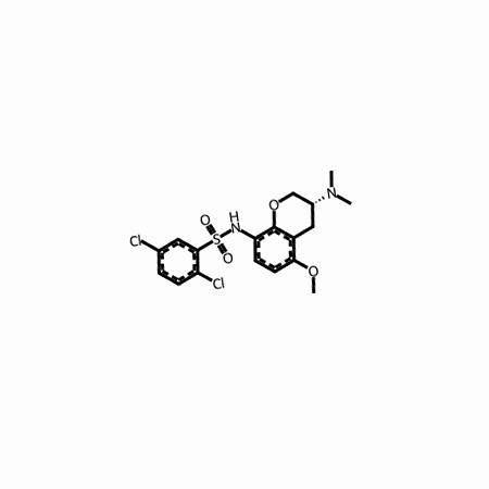 COc1ccc(NS(=O)(=O)c2cc(Cl)ccc2Cl)c2c1C[C@@H](N(C)C)CO2